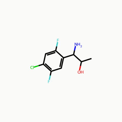 CC(O)C(N)c1cc(F)c(Cl)cc1F